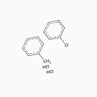 Cc1ccccc1.Cl.Cl.Clc1ccccc1